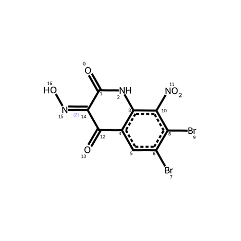 O=C1Nc2c(cc(Br)c(Br)c2[N+](=O)[O-])C(=O)/C1=N/O